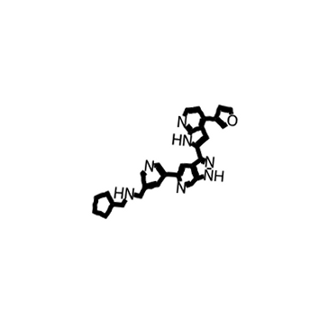 c1cc(-c2ccoc2)c2cc(-c3n[nH]c4cnc(-c5cncc(CNCC6CCCC6)c5)cc34)[nH]c2n1